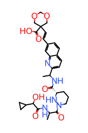 CC(NC(=O)C(O)C1CC1)C(=O)N1CCC[C@@H](C(=O)NC(C)c2ccc3ccc(/C=C/C4(C(=O)O)COCOC4)cc3n2)N1